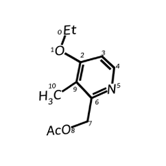 CCOc1ccnc(COC(C)=O)c1C